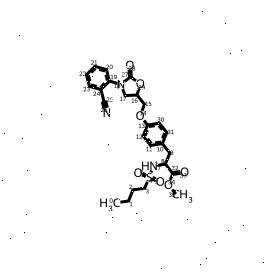 CCCCS(=O)(=O)NC(Cc1ccc(OCC2CN(c3ccccc3C#N)C(=O)O2)cc1)C(=O)OC